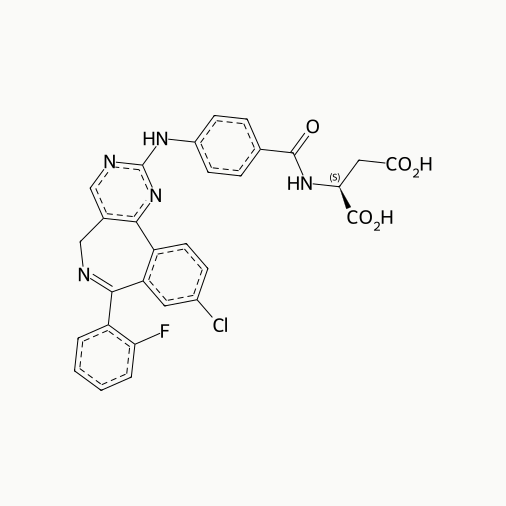 O=C(O)C[C@H](NC(=O)c1ccc(Nc2ncc3c(n2)-c2ccc(Cl)cc2C(c2ccccc2F)=NC3)cc1)C(=O)O